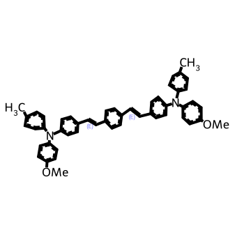 COc1ccc(N(c2ccc(C)cc2)c2ccc(/C=C/c3ccc(/C=C/c4ccc(N(c5ccc(C)cc5)c5ccc(OC)cc5)cc4)cc3)cc2)cc1